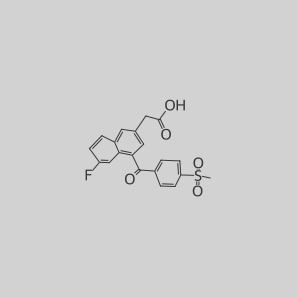 CS(=O)(=O)c1ccc(C(=O)c2cc(CC(=O)O)cc3ccc(F)cc23)cc1